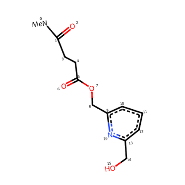 CNC(=O)CCC(=O)OCc1cccc(CO)n1